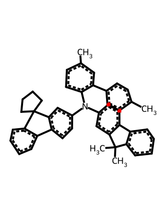 Cc1ccc(-c2cc(C)ccc2N(c2ccc3c(c2)C(C)(C)c2ccccc2-3)c2ccc3c(c2)C2(CCCC2)c2ccccc2-3)cc1